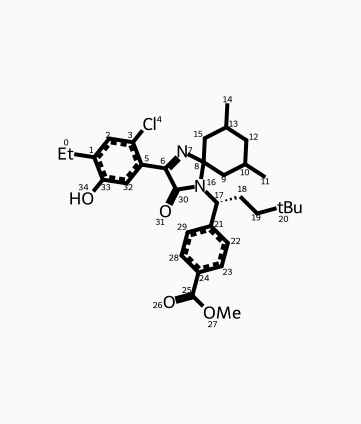 CCc1cc(Cl)c(C2=NC3(CC(C)CC(C)C3)N([C@H](CCC(C)(C)C)c3ccc(C(=O)OC)cc3)C2=O)cc1O